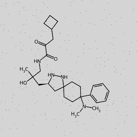 CN(C)C1(c2ccccc2)CCC2(CC1)C[C@@H](CC(C)(O)CNC(=O)C(=O)CC1CCC1)NN2